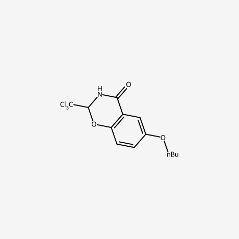 CCCCOc1ccc2c(c1)C(=O)NC(C(Cl)(Cl)Cl)O2